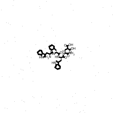 NC(=O)[C@H](CC(C(=O)O)C(=O)O)NC(=O)[C@@H](Cc1c[nH]c2ccccc12)NC(=O)[C@@H](Cc1ccccc1)NC(=O)[C@H](N)Cc1c[nH]c2ccccc12